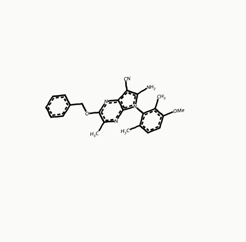 COc1ccc(C)c(-n2c(N)c(C#N)c3nc(OCc4ccccc4)c(C)nc32)c1C